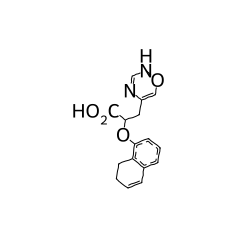 O=C(O)C(CC1=CONC=N1)Oc1cccc2c1CCC=C2